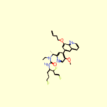 C=CCCOc1cc(-c2cc([C@@H](C)N(CC)C(=O)NC(CCCF)C(F)C=CF)ncc2OC)cc2cccnc12